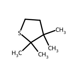 CC1(C)CCSC1(C)C